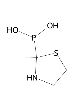 CC1(P(O)O)NCCS1